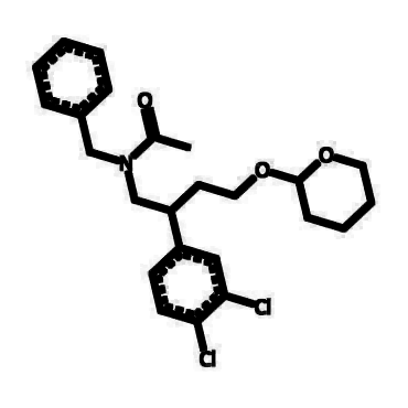 CC(=O)N(Cc1ccccc1)CC(CCOC1CCCCO1)c1ccc(Cl)c(Cl)c1